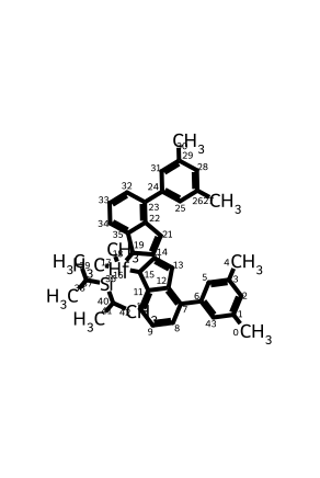 Cc1cc(C)cc(-c2cccc3c2C=C[CH]3[Hf]([CH3])([CH3])([CH]2C=Cc3c(-c4cc(C)cc(C)c4)cccc32)=[Si](C(C)C)C(C)C)c1